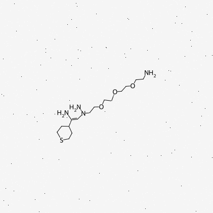 NCCOCCOCCOCCN(N)/C=C(\N)C1CCSCC1